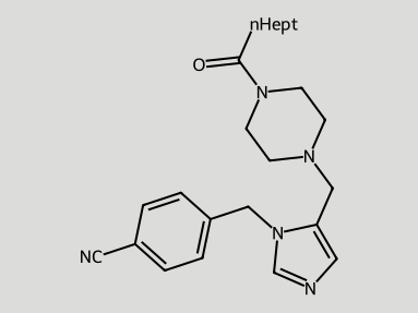 CCCCCCCC(=O)N1CCN(Cc2cncn2Cc2ccc(C#N)cc2)CC1